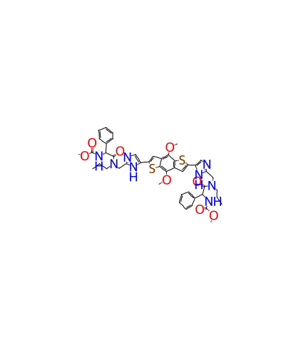 CCCN(Cc1ncc(-c2cc3c(OC)c4sc(-c5cnc(CN(CCC)C(=O)C(NC(=O)OC)c6ccccc6)[nH]5)cc4c(OC)c3s2)[nH]1)C(=O)C(NC(=O)OC)c1ccccc1